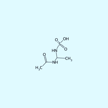 CC(=O)NC(C)NS(=O)(=O)O